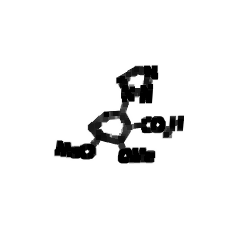 COc1ccc(-n2ccnn2)c(C(=O)O)c1OC